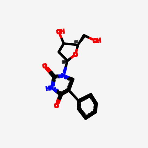 O=c1[nH]c(=O)n([C@H]2CC(O)[C@@H](CO)O2)cc1-c1ccccc1